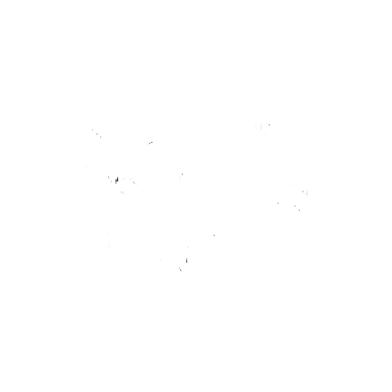 CO[C@@]1(C)C[C@@H](C)C(=O)[C@H](C)[C@H]2N(CCCCn3cc(-c4cccc(N)c4)nn3)C(=O)O[C@]2(C)[C@@H](C)OC(=O)[C@@](C)(F)C(=O)[C@H](C)[C@H]1O[C@@H]1O[C@H](C)C[C@H](N(C)C)[C@H]1O